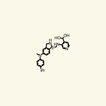 CC(C)c1ccc(N(C)c2ccc3c(c2)CN[C@H]3CNc2cnccc2C(O)O)cc1